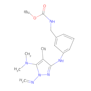 C=Nn1nc(Nc2cccc(CNC(=O)OC(C)(C)C)c2)c(C#N)c1N(C)C